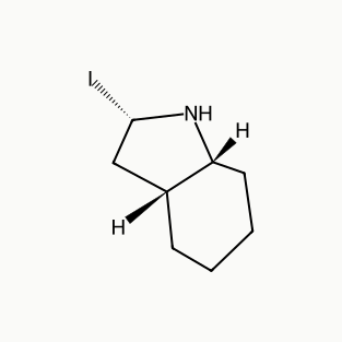 I[C@H]1C[C@H]2CCCC[C@H]2N1